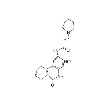 Cl.O=C(CCN1CCCCC1)Nc1ccc2[nH]c(=O)c3c(c2c1)CCSC3